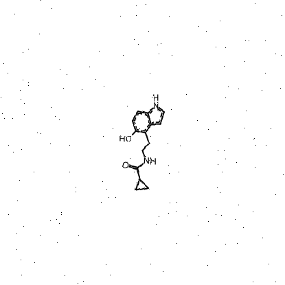 O=C(NCCc1c(O)ccc2[nH]ccc12)C1CC1